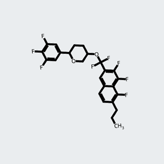 CCCc1ccc2cc(C(F)(F)OC3CCC(c4cc(F)c(F)c(F)c4)OC3)c(F)c(F)c2c1F